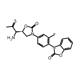 CC(=S)C(N)[C@@H]1CN(c2ccc(-n3c(=O)oc4ccccc43)c(F)c2)C(=O)O1